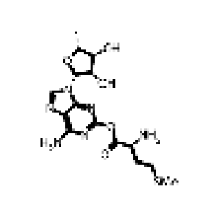 CSCC[C@H](N)C(=O)Oc1nc(N)c2ncn([C@@H]3O[C@H](C)[C@@H](O)[C@H]3O)c2n1